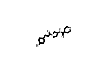 O=C(NC1CCN(C(=O)C=Cc2ccc(Br)cc2)C1)C1CCOCC1